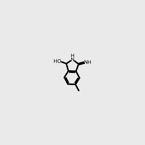 Cc1ccc2c(c1)C(=N)NC2O